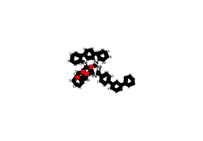 C1=CC(c2ccccc2)CC(c2ccc(-c3nc(-c4ccccc4)nc(-n4c5ccccc5c5ccc6c7ccccc7n(-c7cccc(-c8ccccc8)c7)c6c54)n3)cc2)=C1